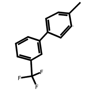 Cc1[c]cc(-c2cccc(C(F)(F)F)c2)cc1